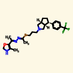 CC1=C(/C(C)=N/N=C(\C)SCCCN2C[C@H]3CC[C@H](c4ccc(C(F)(F)F)cc4)[C@H]3C2)OCN1